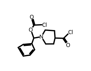 O=C(Cl)OC(c1ccccc1)N1CCC(C(=O)Cl)CC1